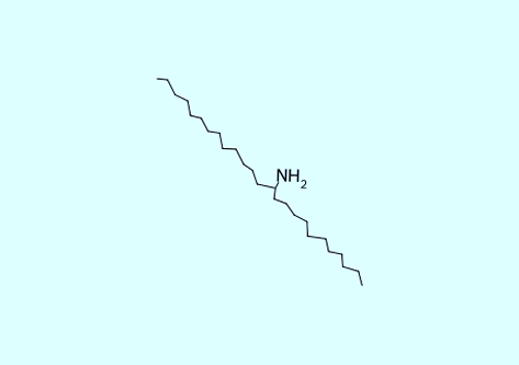 CCCCCCCCCCCCCC(N)CCCCCCCCCCC